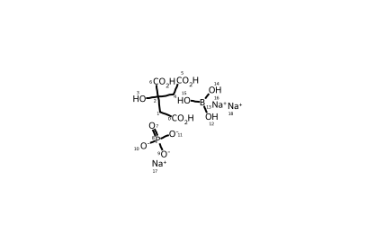 O=C(O)CC(O)(CC(=O)O)C(=O)O.O=P([O-])([O-])[O-].OB(O)O.[Na+].[Na+].[Na+]